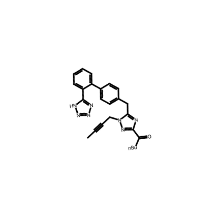 CC#CCn1nc(C(=O)CCCC)nc1Cc1ccc(-c2ccccc2-c2nnn[nH]2)cc1